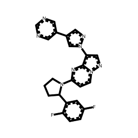 Fc1ccc(F)c(C2CCCN2c2ccn3ncc(-n4cc(-c5cncnc5)cn4)c3n2)c1